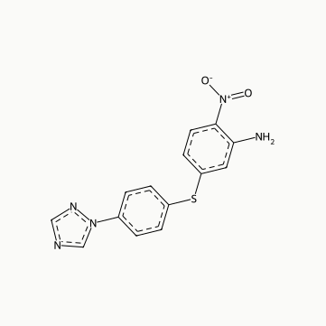 Nc1cc(Sc2ccc(-n3cncn3)cc2)ccc1[N+](=O)[O-]